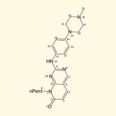 CCCCCn1c(=O)ccc2cnc(Nc3ccc(N4CCN(C)CC4)cc3)nc21